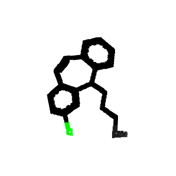 CNCCCC1c2ccccc2C=Cc2ccc(Cl)cc21